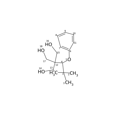 CC(C)(C)C(Oc1ccccc1)C(CO)(CO)CO